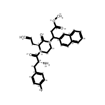 C=CC[C@H]1C(=O)N(C(CC(=O)OC)c2ccc3ccccc3c2)CCN1C(=O)[C@H](N)Cc1ccc(F)cc1